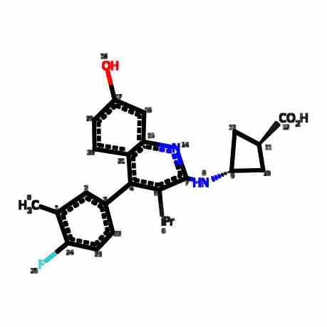 Cc1cc(-c2c(C(C)C)c(N[C@H]3C[C@H](C(=O)O)C3)nc3cc(O)ccc23)ccc1F